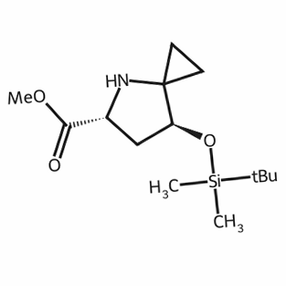 COC(=O)[C@H]1C[C@H](O[Si](C)(C)C(C)(C)C)C2(CC2)N1